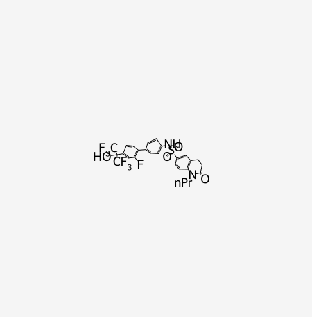 CCCN1C(=O)CCc2cc(S(=O)(=O)Nc3ccc(-c4ccc(C(O)(C(F)(F)F)C(F)(F)F)cc4F)cc3)ccc21